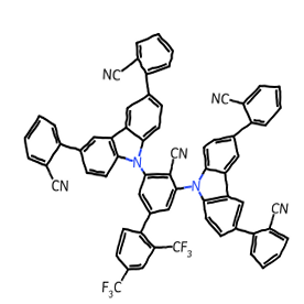 N#Cc1ccccc1-c1ccc2c(c1)c1cc(-c3ccccc3C#N)ccc1n2-c1cc(-c2ccc(C(F)(F)F)cc2C(F)(F)F)cc(-n2c3ccc(-c4ccccc4C#N)cc3c3cc(-c4ccccc4C#N)ccc32)c1C#N